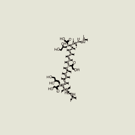 O=C(CO)N(CC(O)CO)B(B(I)B(I)BBB(I)I)B(I)B(I)B(I)B(I)B(I)B(I)N(B(I)B(I)B(I)B(I)B(I)B(I)B(B(I)B(I)BBB(I)I)N(CC(O)CO)C(=O)CO)C(=O)CO